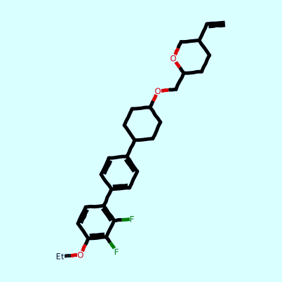 C=CC1CCC(COC2CCC(c3ccc(-c4ccc(OCC)c(F)c4F)cc3)CC2)OC1